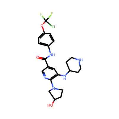 O=C(Nc1ccc(OC(F)(F)Cl)cc1)c1cnc(N2CCC(O)C2)c(NC2CCNCC2)c1